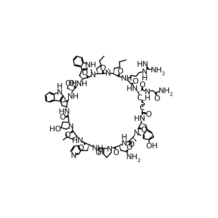 CCCC[C@H]1C(=O)N(C)[C@@H](CCCC)C(=O)N[C@@H](CCCNC(=N)N)C(=O)N[C@H](C(=O)NCC(N)=O)CSCC(=O)N[C@@H](Cc2ccc(O)cc2)C(=O)N(C)[C@@H](C)C(=O)N[C@@H](CC(N)=O)C(=O)N2CCC[C@H]2C(=O)N[C@@H](Cc2cccnc2)C(=O)N[C@@H](CC(C)C)C(=O)N2C[C@H](O)CC2C(=O)NC(Cc2c[nH]c3ccccc23)C(=O)N[C@@H](CO)C(=O)N[C@@H](Cc2c[nH]c3ccccc23)C(=O)N1C